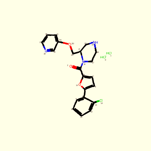 Cl.Cl.O=C(c1ccc(-c2ccccc2Cl)o1)N1CCNCC1COc1cccnc1